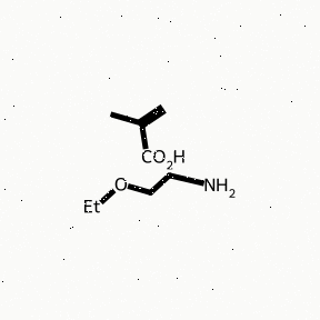 C=C(C)C(=O)O.CCOCCN